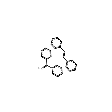 C(=Cc1ccccc1)c1ccccc1.C=C(c1ccccc1)c1ccccc1